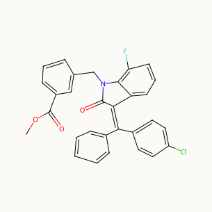 COC(=O)c1cccc(CN2C(=O)/C(=C(\c3ccccc3)c3ccc(Cl)cc3)c3cccc(F)c32)c1